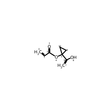 C=CC(=O)OC1(C(=C)O)CC1